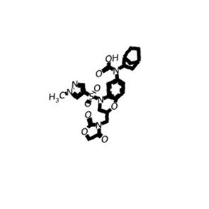 Cn1cc(S(=O)(=O)N2CC(CN3C(=O)COC3=O)Oc3ccc(N(C(=O)O)C4CC5CCC4C5)cc32)cn1